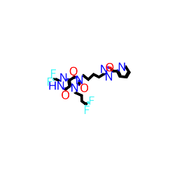 O=c1[nH]c(C(F)F)nc2c(=O)n(CCCCc3noc(-c4ccccn4)n3)c(=O)n(CCCC(F)F)c12